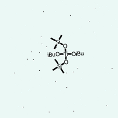 CC(C)C[O][Ti]([O]CC(C)C)([O][Si](C)(C)C)[O][Si](C)(C)C